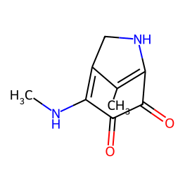 CNC1=C2CNC(=C2C)C(=O)C1=O